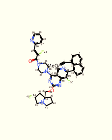 C#Cc1cccc2cccc(-c3nc(OC)c4c(N5CCN(C(=O)/C(F)=C/c6ccccn6)CC5)nc(OC[C@@]56CCCN5C[C@H](F)C6)nc4c3F)c12